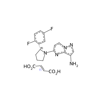 Nc1cnn2ccc(N3CCC[C@@H]3c3cc(F)ccc3F)nc12.O=C(O)/C=C/C(=O)O